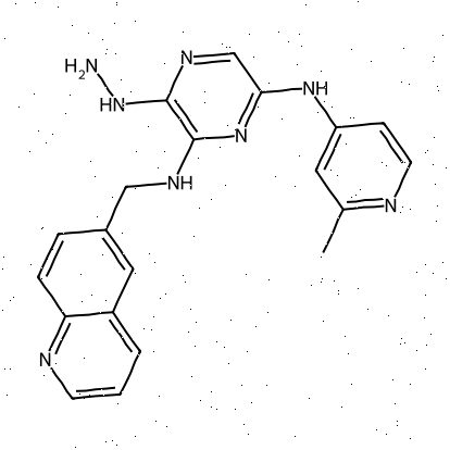 Cc1cc(Nc2cnc(NN)c(NCc3ccc4ncccc4c3)n2)ccn1